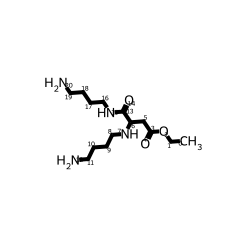 CCOC(=O)CC(NCCCCN)C(=O)NCCCCN